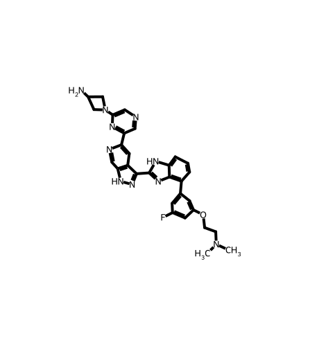 CN(C)CCOc1cc(F)cc(-c2cccc3[nH]c(-c4n[nH]c5cnc(-c6cncc(N7CC(N)C7)n6)cc45)nc23)c1